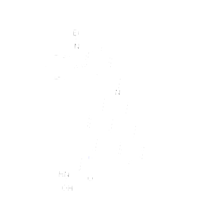 CCn1c2ccccc2c2cc(CN(CCCc3ccccc3)Cc3ccc(/C=C/C(=O)NO)cc3)ccc21